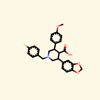 COc1ccc(C2CN(Cc3ccc(F)cc3)CC(c3ccc4c(c3)OCO4)C2C(=O)O)cc1